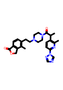 Cc1nc(-n2cncn2)ccc1C(C)C(=O)N1CCN(CCc2ccc3c(c2C)COC3=O)CC1